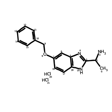 CC(N)c1nc2cc(OCc3ccccc3)ccc2[nH]1.Cl.Cl